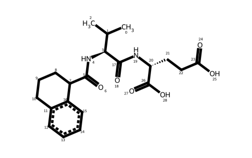 CC(C)[C@H](NC(=O)C1CCCc2ccccc21)C(=O)N[C@H](CCC(=O)O)C(=O)O